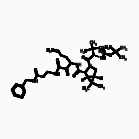 C=CCCC(NC(=O)[C@@H]1[C@@H]2[C@H](CN1C(=O)[C@@H](NC(=O)OC(C)(C)C)C(C)(C)C)C2(C)C)C(=O)C(=O)NCCC(=O)NCc1ccccc1